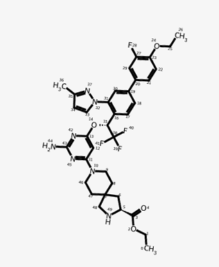 CCOC(=O)[C@@H]1CC2(CCN(c3cc(O[C@H](c4ccc(-c5ccc(OCC)c(F)c5)cc4-n4ccc(C)n4)C(F)(F)F)nc(N)n3)CC2)CN1